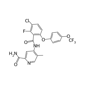 Cc1cnc(C(N)=O)cc1NC(=O)c1c(Oc2ccc(OC(F)(F)F)cc2)ccc(Cl)c1F